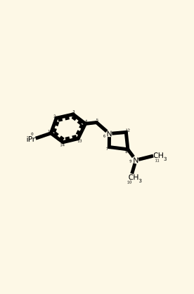 CC(C)c1ccc(CN2CC(N(C)C)C2)cc1